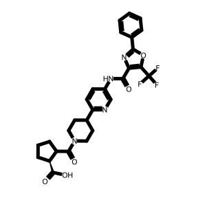 O=C(Nc1ccc(C2CCN(C(=O)C3CCC[C@@H]3C(=O)O)CC2)nc1)c1nc(-c2ccccc2)oc1C(F)(F)F